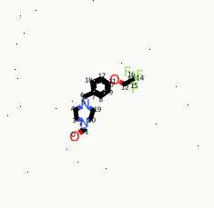 O=CN1CCN(Cc2ccc(OCC(F)(F)F)cc2)CC1